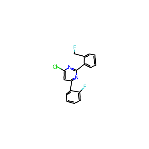 FCc1ccccc1-c1nc(Cl)cc(-c2ccccc2F)n1